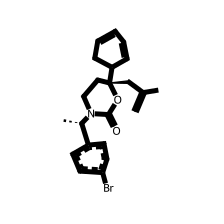 C=C(C)C[C@]1(C2C=CC=CC2)CCN([C@@H](C)c2ccc(Br)cc2)C(=O)O1